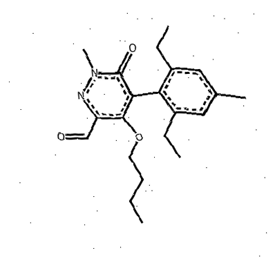 CCCCOc1c(C=O)nn(C)c(=O)c1-c1c(CC)cc(C)cc1CC